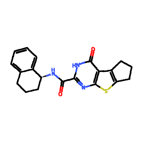 O=C(N[C@@H]1CCCc2ccccc21)c1nc2sc3c(c2c(=O)[nH]1)CCC3